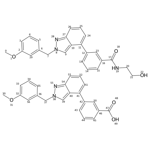 COc1cccc(Cn2cc3c(-c4cccc(C(=O)NCCO)c4)cccc3n2)c1.COc1cccc(Cn2cc3c(-c4cccc(C(=O)O)c4)cccc3n2)c1